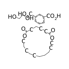 O=C(O)c1cccc(C(=O)O)c1.O=C1CCCCC(=O)OCCCCCCCCCCO1.OCCO